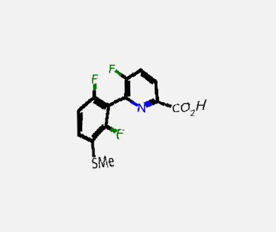 CSc1ccc(F)c(-c2nc(C(=O)O)ccc2F)c1F